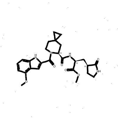 COC(=O)[C@H](C[C@@H]1CCNC1=O)NC(=O)[C@@H]1CC2(CCN1C(=O)c1cc3c(OC)cccc3[nH]1)CC2